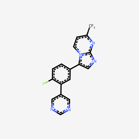 Fc1ccc(-c2cnc3nc(C(F)(F)F)ccn23)cc1-c1cncnc1